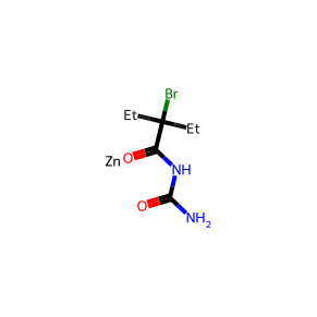 CCC(Br)(CC)C(=O)NC(N)=O.[Zn]